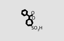 O=c1oc2cc(S(=O)(=O)O)cccc-2c1-c1ccccc1